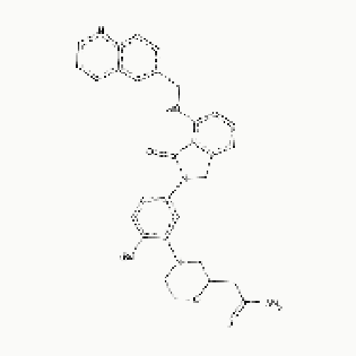 CC(C)(C)c1ccc(N2Cc3cccc(NCc4ccc5ncccc5c4)c3C2=O)cc1N1CCOC(CC(N)=O)C1